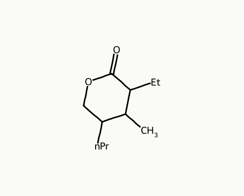 CCCC1COC(=O)C(CC)C1C